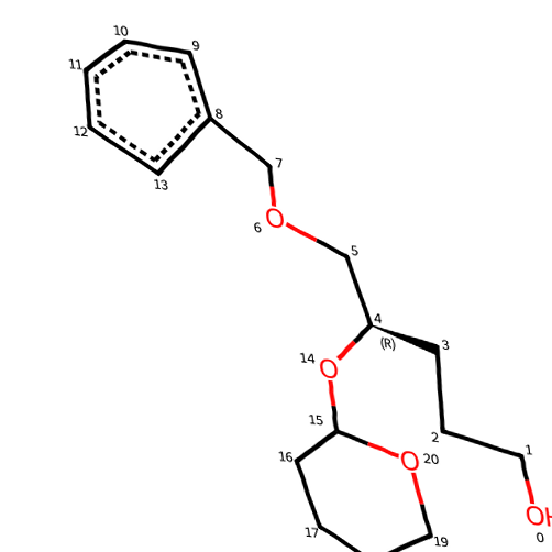 OCCC[C@H](COCc1ccccc1)OC1CCCCO1